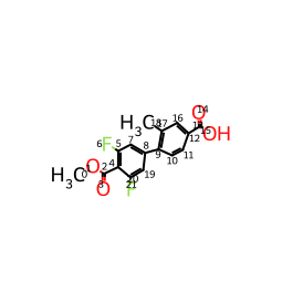 COC(=O)c1c(F)cc(-c2ccc(C(=O)O)cc2C)cc1F